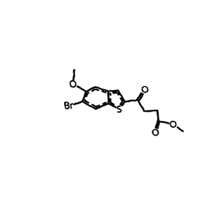 COC(=O)CCC(=O)c1cc2cc(OC)c(Br)cc2s1